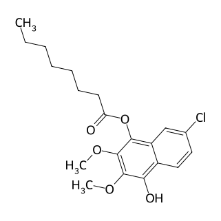 CCCCCCCC(=O)Oc1c(OC)c(OC)c(O)c2ccc(Cl)cc12